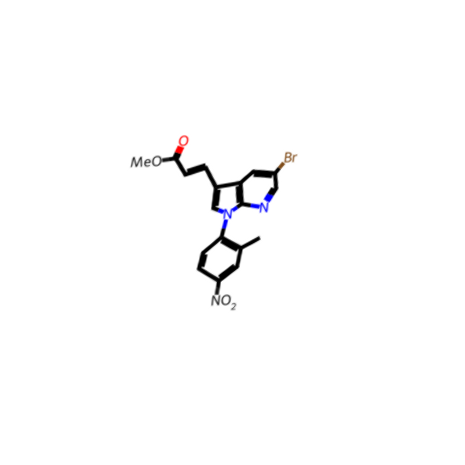 COC(=O)/C=C/c1cn(-c2ccc([N+](=O)[O-])cc2C)c2ncc(Br)cc12